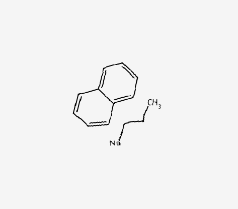 CC[CH2][Na].c1ccc2ccccc2c1